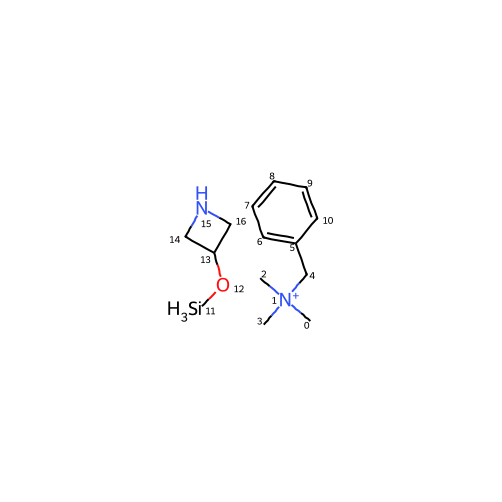 C[N+](C)(C)Cc1ccccc1.[SiH3]OC1CNC1